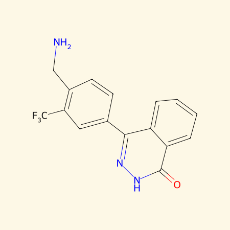 NCc1ccc(-c2n[nH]c(=O)c3ccccc23)cc1C(F)(F)F